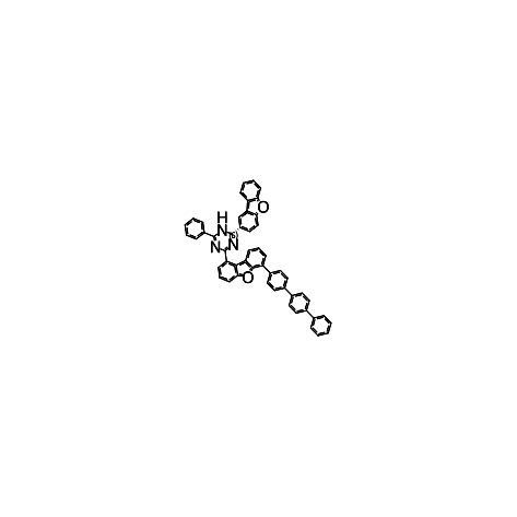 c1ccc(C2=NC(c3cccc4oc5c(-c6ccc(-c7ccc(-c8ccccc8)cc7)cc6)cccc5c34)=N[C@@H](c3ccc4oc5ccccc5c4c3)N2)cc1